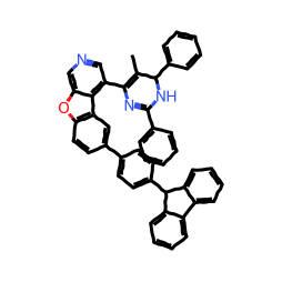 CC1=C(c2cncc3oc4ccc(-c5ccc(C6c7ccccc7-c7ccccc76)cc5)cc4c23)N=C(c2ccccc2)NC1c1ccccc1